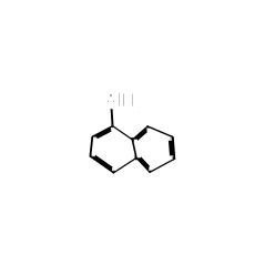 [AlH2][c]1cccc2ccccc12